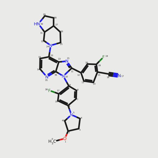 COC1CCN(c2ccc(-n3c(-c4ccc(C#N)c(F)c4)nc4c(N5CCC6CCNC6C5)ccnc43)c(F)c2)C1